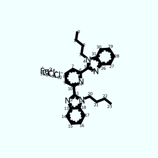 CCCCn1c(-c2cccc(-c3nc4ccccc4n3CCCC)n2)nc2ccccc21.[Cl-].[Cl-].[Cl-].[Fe+3]